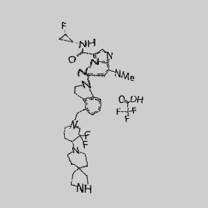 CNc1cc(N2CCc3c(CN4CCC(N5CCC6(CCNCC6)CC5)C(F)(F)C4)cccc32)nn2c(C(=O)N[C@@H]3C[C@@H]3F)cnc12.O=C(O)C(F)(F)F